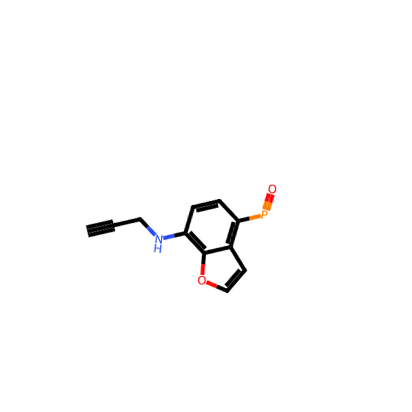 C#CCNc1ccc(P=O)c2ccoc12